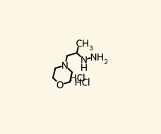 CC(CN1CCOCC1)NN.Cl.Cl